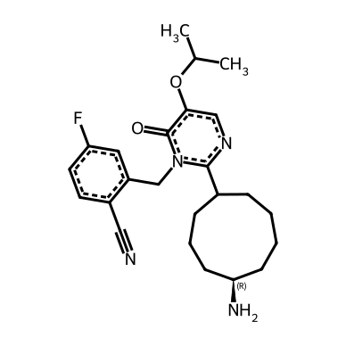 CC(C)Oc1cnc(C2CCCC[C@@H](N)CCC2)n(Cc2cc(F)ccc2C#N)c1=O